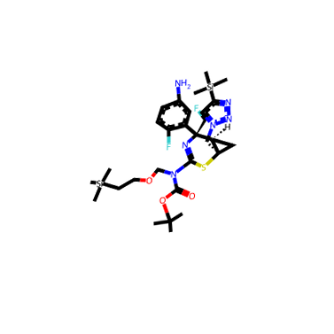 CC(C)(C)OC(=O)N(COCC[Si](C)(C)C)C1=N[C@](CF)(c2cc(N)ccc2F)[C@H]2C[C@@]2(Cn2cc([Si](C)(C)C)nn2)S1